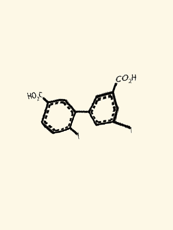 O=C(O)c1cc(I)cc(-c2cc(C(=O)O)ccc2I)c1